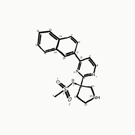 CS(=O)(=O)N[C@]1(c2nccc(-c3ccc4ccccc4c3)n2)CCNC1